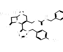 COc1ccc(Cn2nnnc2C2=C(COC(=O)NCc3ccccc3)CS(=O)(=O)[C@@H]3[C@@H](OC)C(=O)N23)cc1